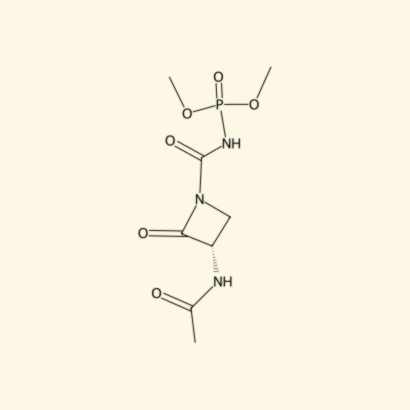 COP(=O)(NC(=O)N1C[C@H](NC(C)=O)C1=O)OC